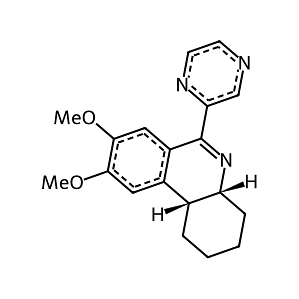 COc1cc2c(cc1OC)[C@H]1CCCC[C@H]1N=C2c1cnccn1